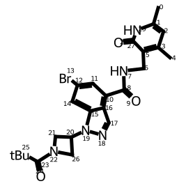 Cc1cc(C)c(CNC(=O)c2cc(Br)cc3c2cnn3C2CN(C(=O)C(C)(C)C)C2)c(=O)[nH]1